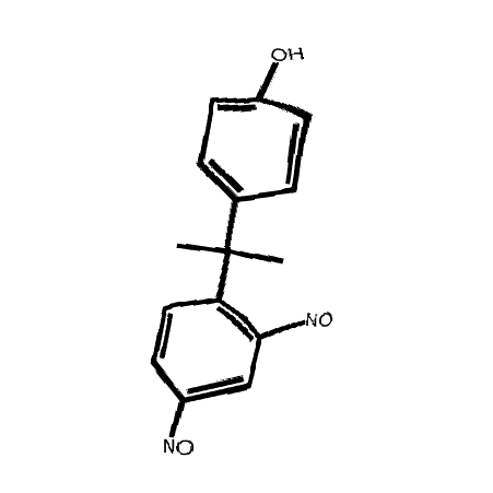 CC(C)(c1ccc(O)cc1)c1ccc(N=O)cc1N=O